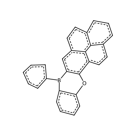 c1ccc(B2c3ccccc3Oc3c2cc2ccc4cccc5ccc3c2c45)cc1